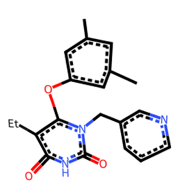 CCc1c(Oc2cc(C)cc(C)c2)n(Cc2cccnc2)c(=O)[nH]c1=O